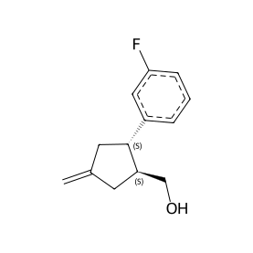 C=C1C[C@H](CO)[C@@H](c2cccc(F)c2)C1